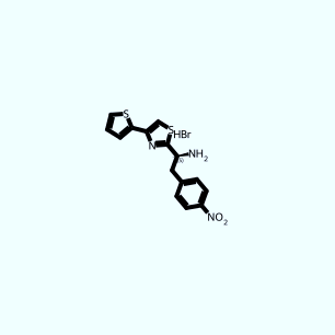 Br.N[C@@H](Cc1ccc([N+](=O)[O-])cc1)c1nc(-c2cccs2)cs1